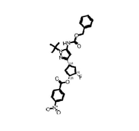 CC(C)(C)n1nc([C@@H]2C[C@H](F)[C@H](OC(=O)c3ccc([N+](=O)[O-])cc3)C2)cc1NC(=O)OCc1ccccc1